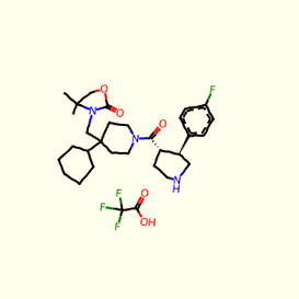 CC1(C)COC(=O)N1CC1(C2CCCCC2)CCN(C(=O)[C@H]2CCNC[C@@H]2c2ccc(F)cc2)CC1.O=C(O)C(F)(F)F